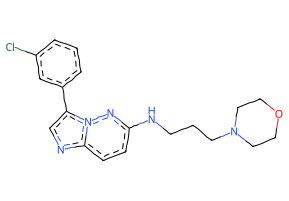 Clc1cccc(-c2cnc3ccc(NCCCN4CCOCC4)nn23)c1